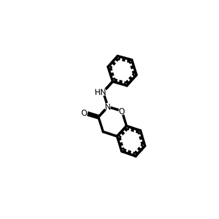 O=C1Cc2ccccc2ON1Nc1ccccc1